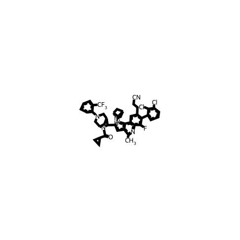 Cc1nc2c(F)c(-c3cccc(Cl)c3Cl)c(CCC#N)cc2c2c1cc(C1C3CC(CN(c4ccccc4C(F)(F)F)C3)N1C(=O)C1CC1)n2C1C2CNC1C2